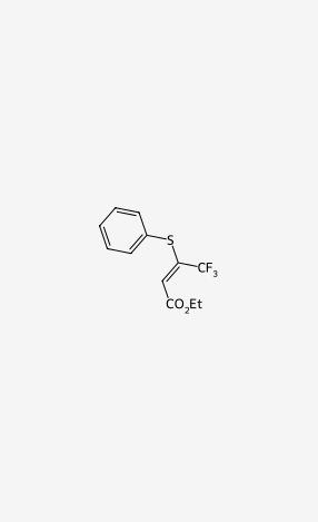 CCOC(=O)C=C(Sc1ccccc1)C(F)(F)F